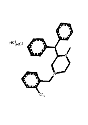 CN1CCN(Cc2ccccc2C(F)(F)F)CC1C(c1ccccc1)c1ccccc1.Cl.Cl